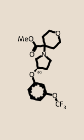 COC(=O)C1(N2CC[C@@H](Oc3cccc(OC(F)(F)F)c3)C2)CCOCC1